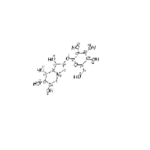 OCC1OC(OC2CN3CC(O)C(O)C(O)C3C2O)C(O)C(O)C1O